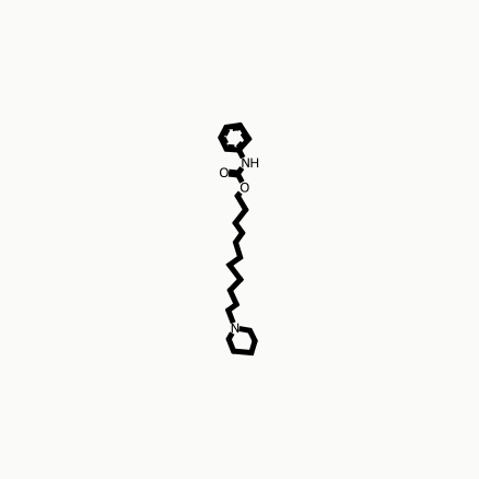 O=C(Nc1ccccc1)OCCCCCCCCCCCN1CCCCC1